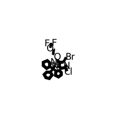 FC(F)OCCOc1nn(C(c2ccccc2)(c2ccccc2)c2ccccc2)c2cc(Cl)nc(CBr)c12